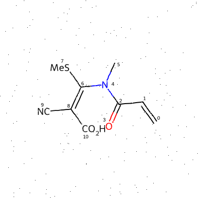 C=CC(=O)N(C)/C(SC)=C(/C#N)C(=O)O